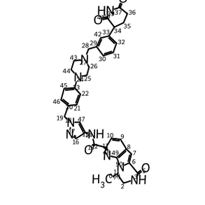 C[C@@H]1CNC(=O)c2cc3ccc(C(=O)Nc4cnn(Cc5ccc(N6CCN(Cc7cccc(C8CCC(=O)NC8=O)c7)CC6)cc5)c4)nc3n21